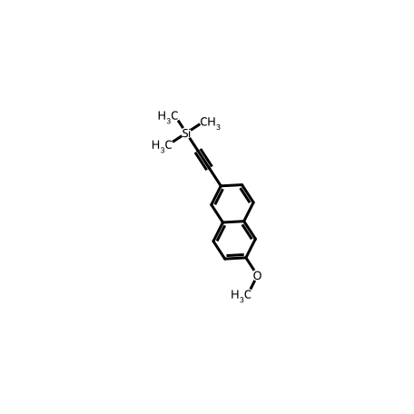 COc1ccc2cc(C#C[Si](C)(C)C)ccc2c1